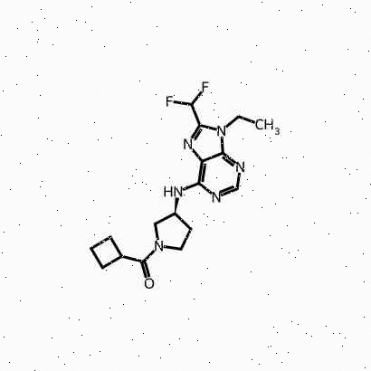 CCn1c(C(F)F)nc2c(N[C@H]3CCN(C(=O)C4CCC4)C3)ncnc21